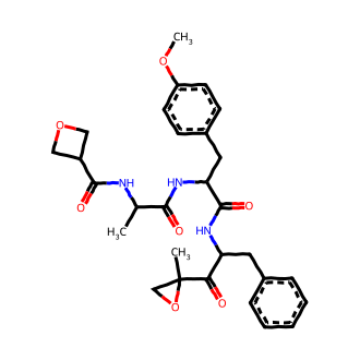 COc1ccc(CC(NC(=O)C(C)NC(=O)C2COC2)C(=O)NC(Cc2ccccc2)C(=O)C2(C)CO2)cc1